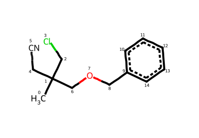 CC(CCl)(CC#N)COCc1ccccc1